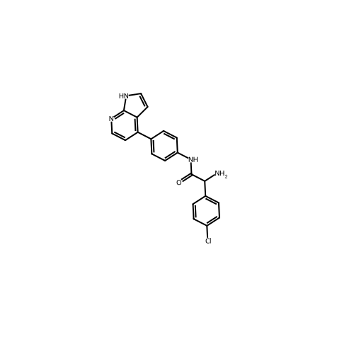 NC(C(=O)Nc1ccc(-c2ccnc3[nH]ccc23)cc1)c1ccc(Cl)cc1